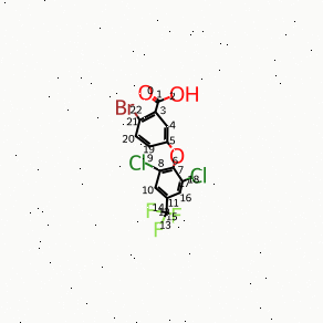 O=C(O)c1cc(Oc2c(Cl)cc(C(F)(F)F)cc2Cl)ccc1Br